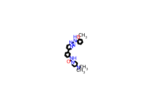 COc1ccccc1Nc1nc2ccc(-c3cccc(NC(=O)N4CCC(N(C)C)CC4)c3)cn2n1